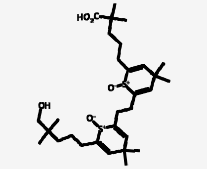 CC1(C)C=C(CCCC(C)(C)CO)[S+]([O-])C(CCC2=CC(C)(C)C=C(CCCC(C)(C)C(=O)O)[S+]2[O-])=C1